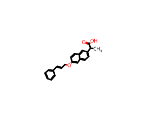 CC(C(=O)O)c1ccc2cc(OCC=Cc3ccccc3)ccc2c1